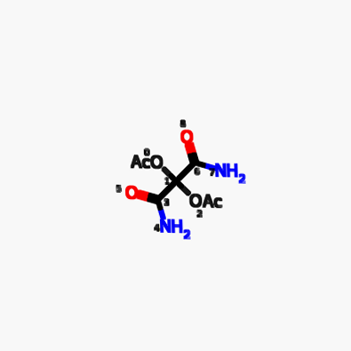 CC(=O)OC(OC(C)=O)(C(N)=O)C(N)=O